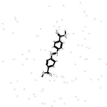 COC(=O)c1ccc(/N=N/c2ccc(C(=O)OC)cc2)cc1